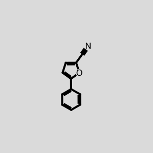 N#Cc1ccc(-c2ccccc2)o1